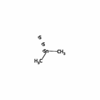 [CH3][Sn][CH3].[S].[S]